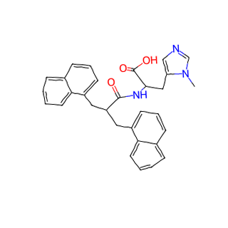 Cn1cncc1CC(NC(=O)C(Cc1cccc2ccccc12)Cc1cccc2ccccc12)C(=O)O